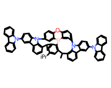 CC(C)c1cc2c3c(c1)C(C)c1cccc4c5cc(-n6c7ccccc7c7ccccc76)ccc5n(c14)-c1ccc4c(c1)B3c1cc(ccc1O4)-n1c3ccc(-n4c5ccccc5c5ccccc54)cc3c3cccc(c31)C2C